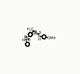 COc1ccc(NC(=S)NN=C(C)c2ccc(S(=O)(=O)Nc3ccccc3)cc2)cc1